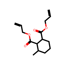 C=CCOC(=O)C1CCCC(C)C1C(=O)OCC=C